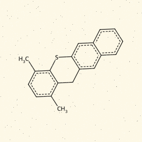 Cc1ccc(C)c2c1Cc1cc3ccccc3cc1S2